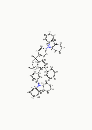 CC1(C)C2=C(CC(n3c4c(c5ccccc53)C=CCC4)C=C2)c2cc(-c3ccccc3)c3c(c21)C(C)(C)c1ccc(-n2c4ccccc4c4ccccc42)cc1-3